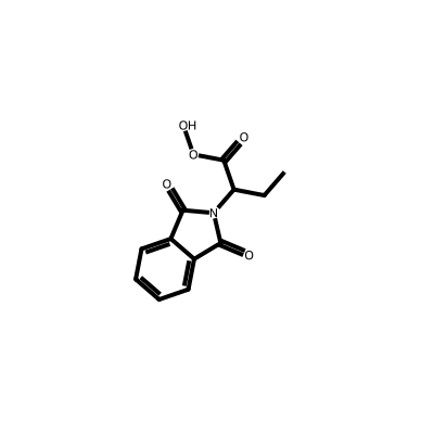 CCC(C(=O)OO)N1C(=O)c2ccccc2C1=O